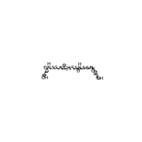 O=C(NCSCSC/N=C/[S+]([O-])CCSCCSC(=O)NCSCSC/N=C\OOCSCO)OCSCO